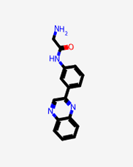 NCC(=O)Nc1cccc(-c2cnc3ccccc3n2)c1